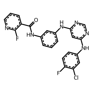 O=C(Nc1cccc(Nc2cc(Nc3ccc(F)c(Cl)c3)ncn2)c1)c1cccnc1F